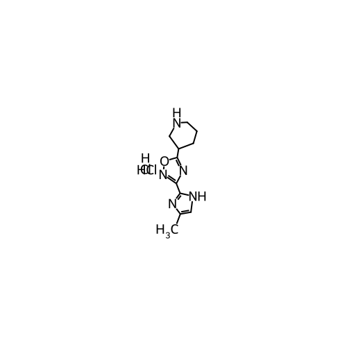 Cc1c[nH]c(-c2noc(C3CCCNC3)n2)n1.Cl.Cl